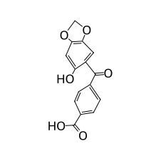 O=C(O)c1ccc(C(=O)c2cc3c(cc2O)OCO3)cc1